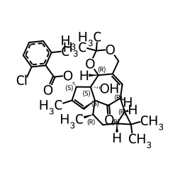 CC1=C[C@]23C(=O)[C@@H](C=C4COC(C)(C)O[C@H]4[C@]2(O)[C@H]1OC(=O)c1c(C)cccc1Cl)[C@H]1[C@@H](C[C@H]3C)C1(C)C